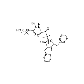 CCC(C)C(NC(=O)C(=O)C(C)(C)NC(=O)C(Cc1ccccc1)NC(=O)Cc1ccccc1)C(=O)NC(C)(C)C(=O)O